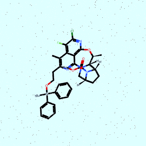 Cc1c(CCO[Si](c2ccccc2)(c2ccccc2)C(C)(C)C)nc2c3c(nc(Cl)c(F)c13)O[C@@H](C)[C@@H]1[C@@H]3CC[C@H](CN21)N3C(=O)OC(C)(C)C